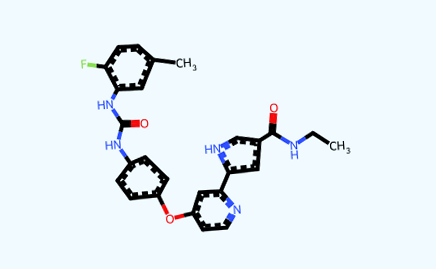 CCNC(=O)c1c[nH]c(-c2cc(Oc3ccc(NC(=O)Nc4cc(C)ccc4F)cc3)ccn2)c1